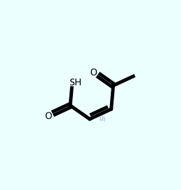 CC(=O)/C=C\C(=O)S